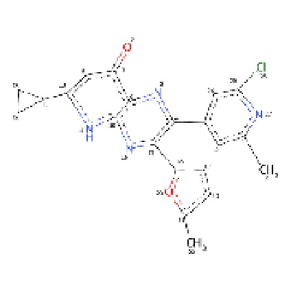 Cc1cc(-c2nc3c(=O)cc(C4CC4)[nH]c3nc2-c2ccc(C)o2)cc(Cl)n1